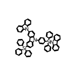 c1ccc([Si](c2ccccc2)(c2ccccc2)c2ccc3c(c2)c2cc(-n4c5ccccc5c5ccccc54)ccc2n3-c2ccc([Si](c3ccccc3)(c3ccccc3)n3c4ccccc4c4ccccc43)cc2)cc1